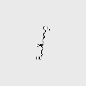 CCCCCC[S+]([O-])CCCO